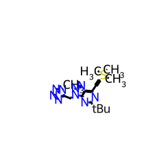 Cn1nnnc1Cn1nnc2c(C#CS(C)(C)C)nc(C(C)(C)C)nc21